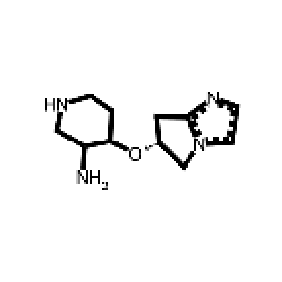 NC1CNCCC1O[C@@H]1Cc2nccn2C1